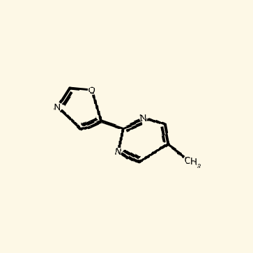 Cc1cnc(-c2cnco2)nc1